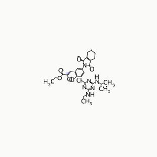 CCNc1nc(Cl)nc(NC(C)C)n1.CCOC(=O)/C(Cl)=C/c1cc(N2C(=O)C3=C(CCCC3)C2=O)ccc1Cl